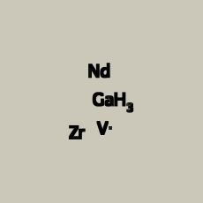 [GaH3].[Nd].[V].[Zr]